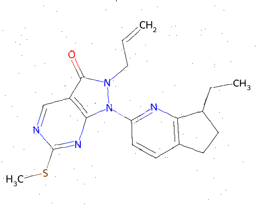 C=CCn1c(=O)c2cnc(SC)nc2n1-c1ccc2c(n1)C(CC)CC2